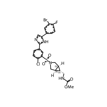 COC(=O)NC[C@@H]1[C@H]2CN(S(=O)(=O)c3cc(-c4ncc(-c5ccc(F)c(Br)c5)[nH]4)ccc3Cl)C[C@@H]12